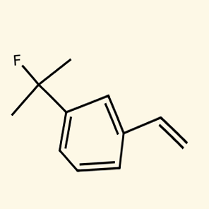 C=Cc1cccc(C(C)(C)F)c1